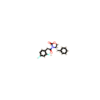 O=C(Cc1ccc(F)cc1F)N1C(=O)OC[C@@H]1Cc1ccccc1